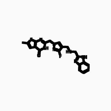 Cc1cc2c(=O)[nH]c(Cn3cc(CNCc4nc5ccccc5[nH]4)c(F)n3)nc2s1